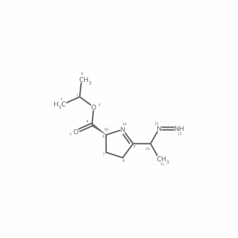 CC(C)OC(=O)[C@@H]1CCC(C(C)N=N)=N1